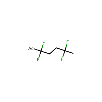 CC(=O)C(F)(F)CCC(C)(F)F